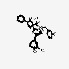 O=C(O)C1=CC(C(=O)NCc2cccc(F)c2)(c2nc(-c3ccc(Cl)c(Cl)c3)cs2)C=CC1c1ccccc1